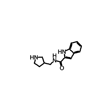 O=C(NCC1CCNC1)c1cc2ccccc2[nH]1